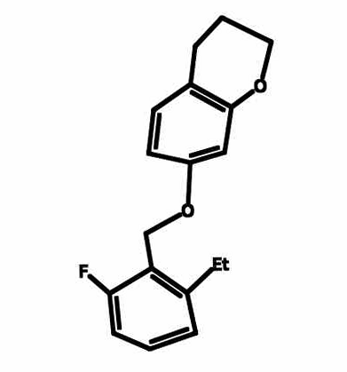 CCc1cccc(F)c1COc1ccc2c(c1)OCCC2